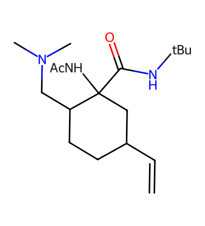 C=CC1CCC(CN(C)C)C(NC(C)=O)(C(=O)NC(C)(C)C)C1